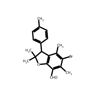 Cc1ccc(C2c3c(C)c(Br)c(C)c(C=O)c3OC2(C)C)cc1